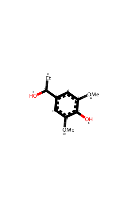 CCC(O)c1cc(OC)c(O)c(OC)c1